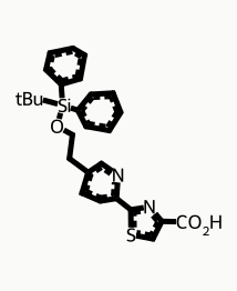 CC(C)(C)[Si](OCCc1ccc(-c2nc(C(=O)O)cs2)nc1)(c1ccccc1)c1ccccc1